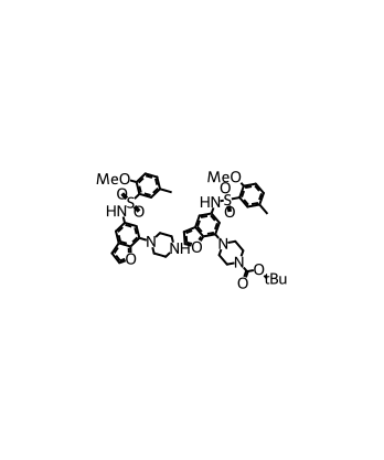 COc1ccc(C)cc1S(=O)(=O)Nc1cc(N2CCN(C(=O)OC(C)(C)C)CC2)c2occc2c1.COc1ccc(C)cc1S(=O)(=O)Nc1cc(N2CCNCC2)c2occc2c1